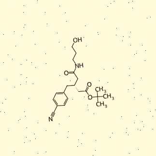 CC(C)(C)OC(=O)C[C@@H](CC(=O)NCCCO)Cc1ccc(C#N)cc1